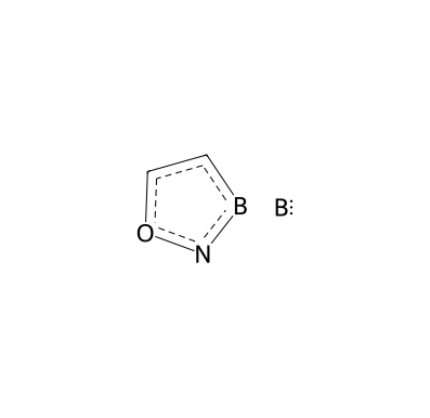 [B].b1ccon1